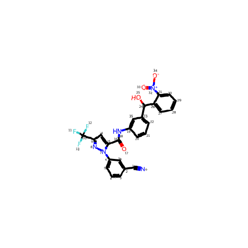 N#Cc1cccc(-n2nc(C(F)(F)F)cc2C(=O)Nc2cccc(C(O)c3ccccc3[N+](=O)[O-])c2)c1